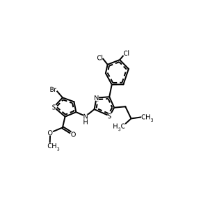 COC(=O)c1sc(Br)cc1Nc1nc(-c2ccc(Cl)c(Cl)c2)c(CC(C)C)s1